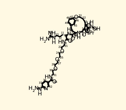 CC(C)C[C@H]1C(=O)N[C@H](C(=O)N[C@@H](CCCNC(=N)N)C(=O)NCCOCCOCCOCCNC(=O)c2ccc(NN)nc2)Cc2ccc(cc2)OCCC[C@@H]1C(=O)NO